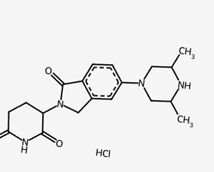 CC1CN(c2ccc3c(c2)CN(C2CCC(=O)NC2=O)C3=O)CC(C)N1.Cl